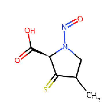 CC1CN(N=O)[C@H](C(=O)O)C1=S